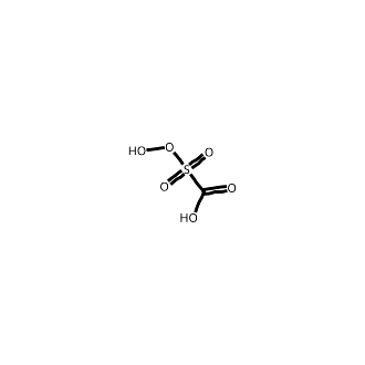 O=C(O)S(=O)(=O)OO